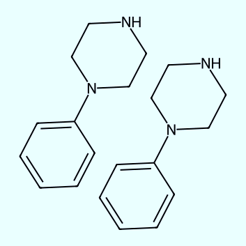 c1ccc(N2CCNCC2)cc1.c1ccc(N2CCNCC2)cc1